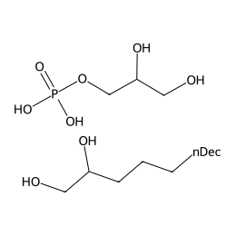 CCCCCCCCCCCCCC(O)CO.O=P(O)(O)OCC(O)CO